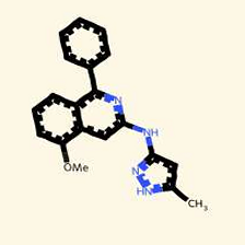 COc1cccc2c(-c3ccccc3)nc(Nc3cc(C)[nH]n3)cc12